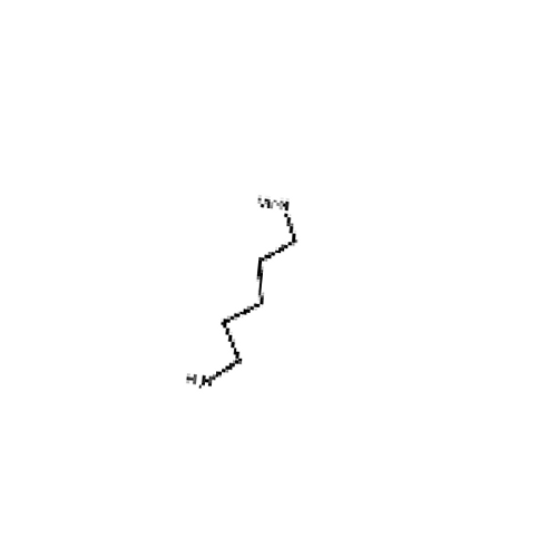 CNCCCCCN